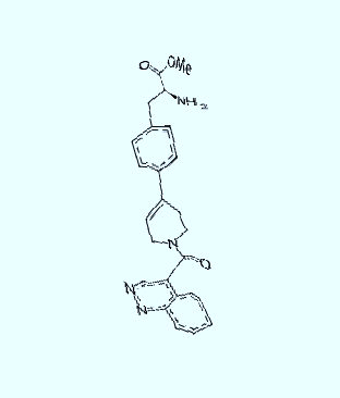 COC(=O)[C@@H](N)Cc1ccc(C2=CCN(C(=O)c3cnnc4ccccc34)CC2)cc1